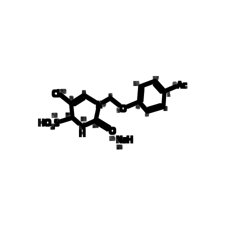 CC(=O)c1ccc(OCN2C=C(Cl)C(S(=O)(=O)O)NC2=O)cc1.[NaH]